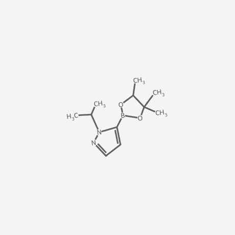 CC(C)n1nccc1B1OC(C)C(C)(C)O1